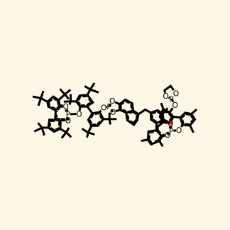 Cc1cc(C)c(OP2OCCO2)c(-c2cc(C)cc(C)c2Op2oc3c(C)cc(C)cc3c3cc(Cc4cccc5c6c(ccc45)OP(Oc4c(-c5cc(C(C)(C)C)cc(C(C)(C)C)c5Op5oc7c(C(C)(C)C)cc(C(C)(C)C)cc7c7cc(C(C)(C)C)cc(C(C)(C)C)c7o5)cc(C(C)(C)C)cc4C(C)(C)C)O6)cc(C)c3o2)c1